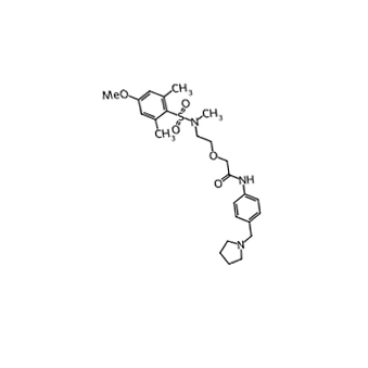 COc1cc(C)c(S(=O)(=O)N(C)CCOCC(=O)Nc2ccc(CN3CCCC3)cc2)c(C)c1